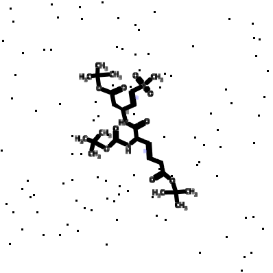 CC(C)(C)OC(=O)C/C=C/C(NC(=O)OC(C)(C)C)C(=O)N[C@H](/C=C/S(C)(=O)=O)CC(=O)OC(C)(C)C